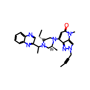 CC#CCn1cc2c(n1)c(N1C[C@@H](CC)N(C(C)c3cnc4ccccc4n3)C[C@@H]1C)cc(=O)n2C